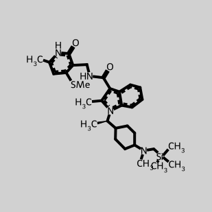 CSc1cc(C)[nH]c(=O)c1CNC(=O)c1c(C)n([C@H](C)C2CCC(N(C)C[Si](C)(C)C)CC2)c2ccccc12